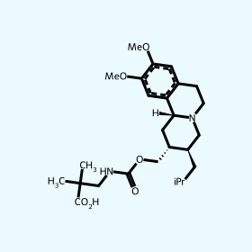 COc1cc2c(cc1OC)[C@H]1C[C@@H](COC(=O)NCC(C)(C)C(=O)O)[C@H](CC(C)C)CN1CC2